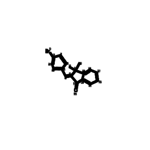 CC1(C)/C(=C\c2ccc(Br)cc2)C(=O)c2ccccc21